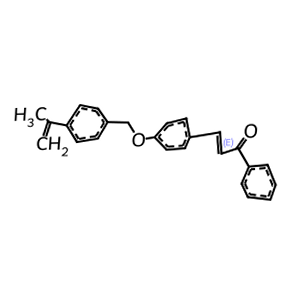 C=C(C)c1ccc(COc2ccc(/C=C/C(=O)c3ccccc3)cc2)cc1